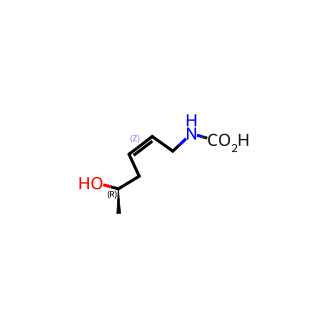 C[C@@H](O)C/C=C\CNC(=O)O